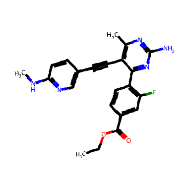 CCOC(=O)c1ccc(-c2nc(N)nc(C)c2C#Cc2ccc(NC)nc2)c(F)c1